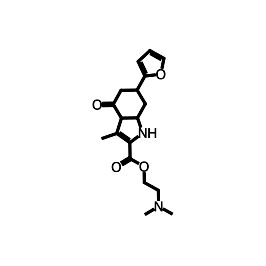 CC1=C(C(=O)OCCN(C)C)NC2CC(c3ccco3)CC(=O)C12